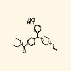 C=CCN1CCN(C(c2ccccc2)c2ccc(C(=O)N(CC)CC)cc2)CC1.Cl.Cl